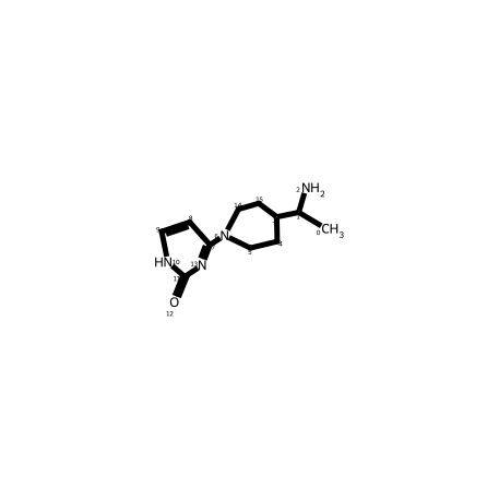 CC(N)C1CCN(c2cc[nH]c(=O)n2)CC1